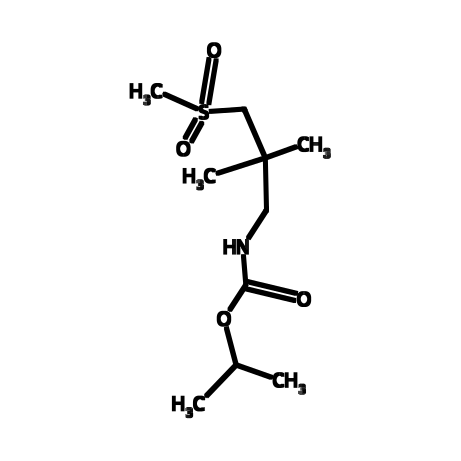 CC(C)OC(=O)NCC(C)(C)CS(C)(=O)=O